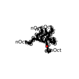 CCCCCCCCSCC(C)C(=O)OCCOC(=O)CCN(CCCN(CCCN(CCC(=O)OCCOC(=O)C(C)CSCCCCCCCC)CCC(=O)OCCOC(=O)C(C)CSCCCCCCCC)CCC(=O)OCCOC(=O)C(C)CSCCCCCCCC)CCCN(CCC(=O)OCCOC(=O)C(C)CSCCCCCCCC)CCC(=O)OCCOC(=O)C(C)CSCCCCCCCC